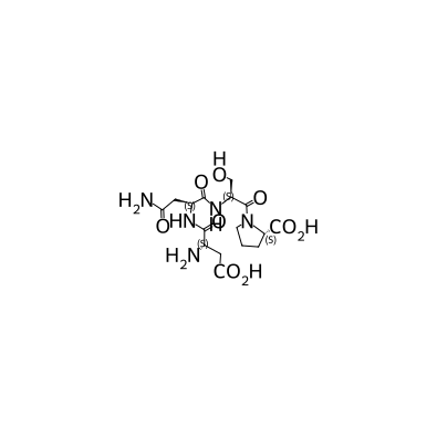 NC(=O)C[C@H](NC(=O)[C@@H](N)CC(=O)O)C(=O)N[C@@H](CO)C(=O)N1CCC[C@H]1C(=O)O